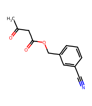 CC(=O)CC(=O)OCc1cccc(C#N)c1